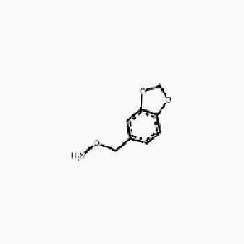 NOCc1ccc2c(c1)OCO2